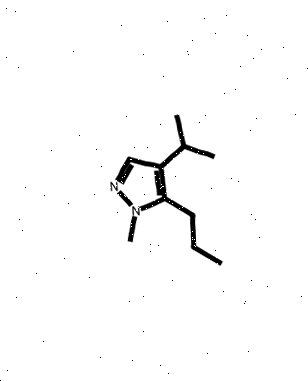 CCCc1c(C(C)C)cnn1C